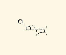 COc1cc(C#N)c(N=C(C)N2CCc3cc(OCc4ccccc4)c(OC)cc3C2)cc1OC